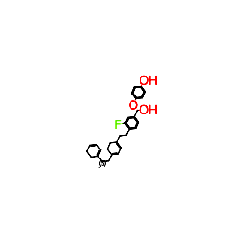 C[C@@H](CC1=CC=C(CCc2ccc(C(O)Oc3ccc(O)cc3)cc2F)CC1)C1=CC=CCC1